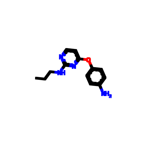 CCCNc1nccc(Oc2ccc(N)cc2)n1